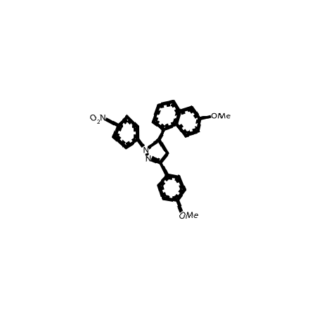 COc1ccc(C2=NN(c3ccc([N+](=O)[O-])cc3)C(c3cccc4cc(OC)ccc34)C2)cc1